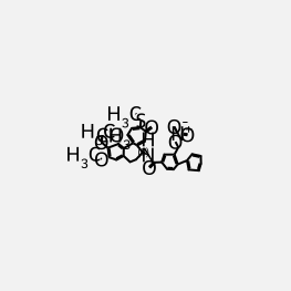 COc1cc2c(c(OC)c1OC)-c1ccc(SC)c(=O)cc1[C@@H](NC(=O)c1ccc(-c3ccccc3)c(CO[N+](=O)[O-])c1)CC2